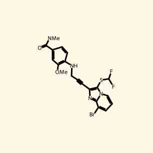 CNC(=O)c1ccc(NCC#Cc2nc3c(Br)cccn3c2SC(F)F)c(OC)c1